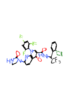 O=C(NC(c1ccccc1Cl)C(F)(F)F)c1cn(-c2c(F)cc(F)cc2F)c2nc(N3CCNC3=O)ccc2c1=O